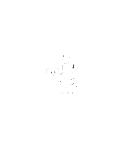 CCOC(=O)c1c(-c2onc(-c3c(F)cccc3Cl)c2C(=O)OC)cnn1-c1ccc(Cl)cc1Cl